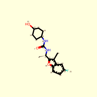 Cc1c([C@H](C)NC(=O)NC2CCC(O)CC2)oc2ccc(F)cc12